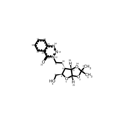 CC1(C)O[C@@H]2O[C@@H](CO)[C@H](CCn3nnc4ccccc4c3=O)[C@@H]2O1